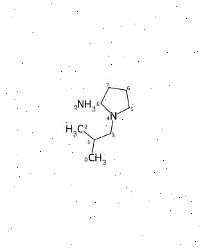 CC(C)CN1CCCC1.N